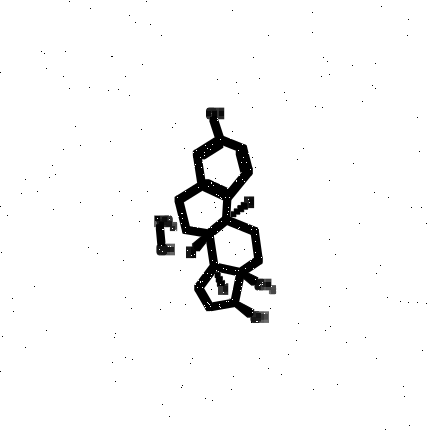 C[C@]12CC[C@@H]3c4ccc(O)cc4CC[C@H]3[C@@H]1CC[C@@H]2O.O=[N+]([O-])O